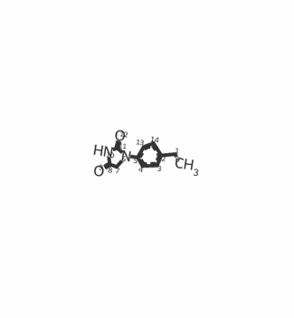 CCc1ccc(N2CC(=O)NC2=O)cc1